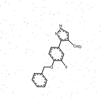 O=Cc1c[nH]nc1-c1ccc(OCc2ccccc2)c(F)c1